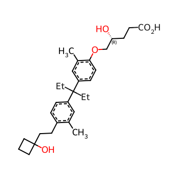 CCC(CC)(c1ccc(CCC2(O)CCC2)c(C)c1)c1ccc(OC[C@H](O)CCC(=O)O)c(C)c1